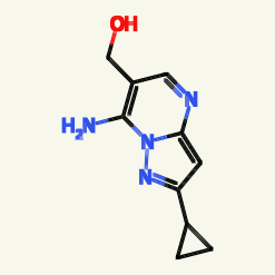 Nc1c(CO)cnc2cc(C3CC3)nn12